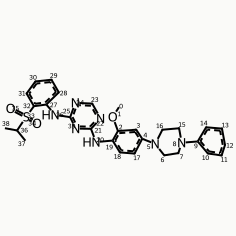 COc1cc(N2CCN(c3ccccc3)CC2)ccc1Nc1ncnc(Nc2ccccc2S(=O)(=O)C(C)C)n1